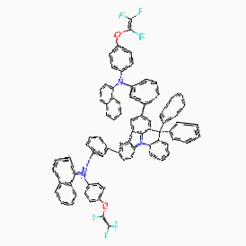 FC(F)=C(F)Oc1ccc(N(c2cccc(-c3ccc4c(c3)c3cc(-c5cccc(N(c6ccc(OC(F)=C(F)F)cc6)c6cccc7ccccc67)c5)cc5c3n4-c3ccccc3C5(c3ccccc3)c3ccccc3)c2)c2cccc3ccccc23)cc1